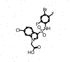 O=C(O)Cn1cc(S(=O)(=O)Nc2cc(F)c(Br)cc2F)c2ccc(Cl)cc21